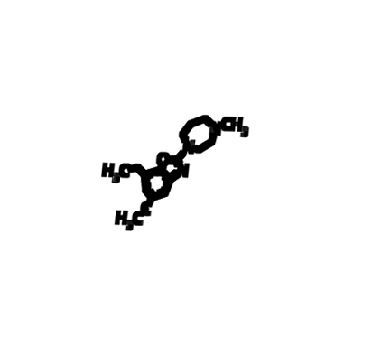 CCc1cc(CC)c2oc(N3CCCN(C)CC3)nc2c1